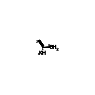 BC=C.[KH]